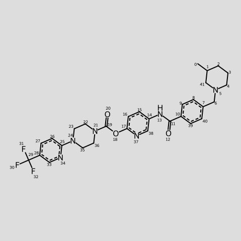 CC1CCCN(Cc2ccc(C(=O)Nc3ccc(OC(=O)N4CCN(c5ccc(C(F)(F)F)cn5)CC4)nc3)cc2)C1